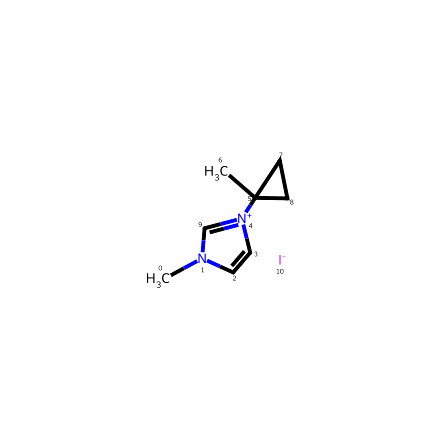 Cn1cc[n+](C2(C)CC2)c1.[I-]